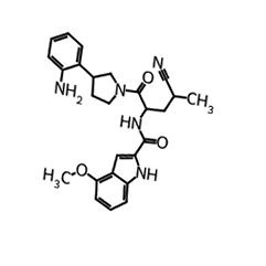 COc1cccc2[nH]c(C(=O)NC(CC(C)C#N)C(=O)N3CCC(c4ccccc4N)C3)cc12